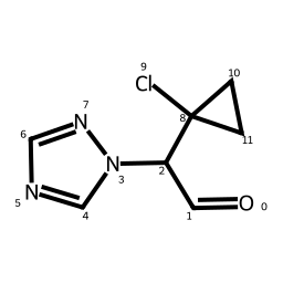 O=CC(n1cncn1)C1(Cl)CC1